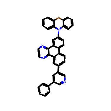 c1ccc(-c2cncc(-c3ccc4c5ccc(N6c7ccccc7Sc7ccccc76)cc5c5nccnc5c4c3)c2)cc1